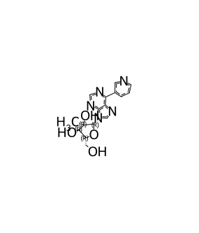 C[C@@]1(O)[C@H](O)[C@@H](CO)O[C@H]1n1cnc2c(-c3cccnc3)ncnc21